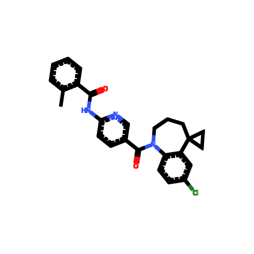 Cc1ccccc1C(=O)Nc1ccc(C(=O)N2CCCC3(CC3)c3cc(Cl)ccc32)cn1